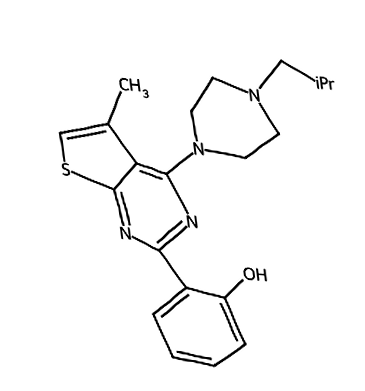 Cc1csc2nc(-c3ccccc3O)nc(N3CCN(CC(C)C)CC3)c12